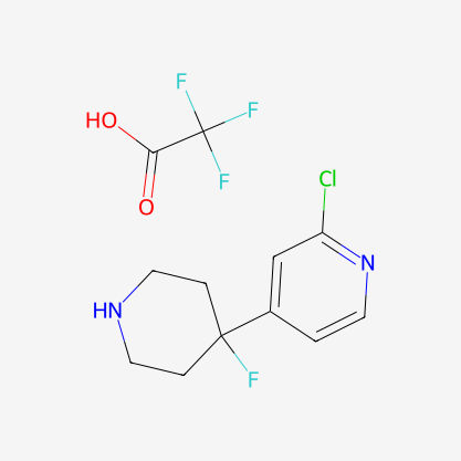 FC1(c2ccnc(Cl)c2)CCNCC1.O=C(O)C(F)(F)F